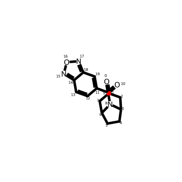 O=C1CC2CCC(C1)N2C(=O)c1ccc2nonc2c1